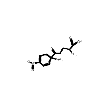 NC(CCC(=O)C1(N)C=CC([N+](=O)[O-])=CC1)C(=O)O